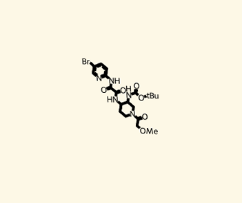 COCC(=O)N1CCC(NC(=O)C(=O)Nc2ccc(Br)cn2)C(NC(=O)OC(C)(C)C)C1